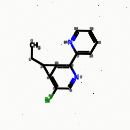 CCC1c2c(Br)cnc(-c3ccccn3)c21